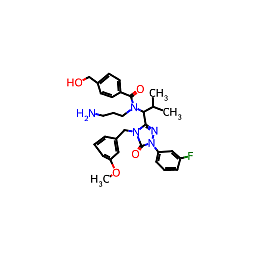 COc1cccc(Cn2c(C(C(C)C)N(CCCN)C(=O)c3ccc(CO)cc3)nn(-c3cccc(F)c3)c2=O)c1